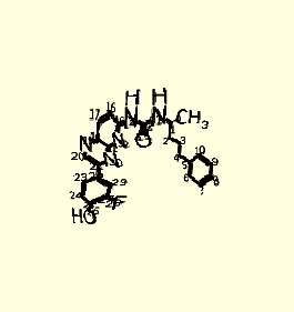 C[C@H](CCCc1ccccc1)NC(=O)Nc1ccc2ncc(-c3ccc(O)c(F)c3)nc2n1